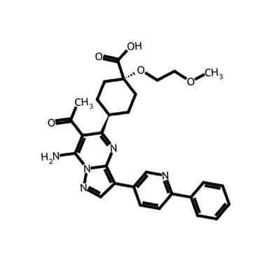 COCCO[C@]1(C(=O)O)CC[C@@H](c2nc3c(-c4ccc(-c5ccccc5)nc4)cnn3c(N)c2C(C)=O)CC1